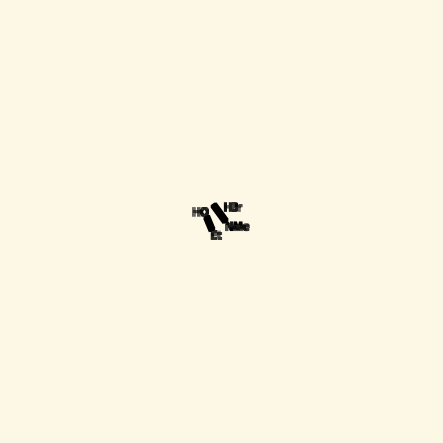 Br.CCO.CNC